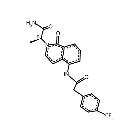 C[C@@H](C(N)=O)n1ccc2c(NC(=O)Cc3ccc(C(F)(F)F)cc3)cccc2c1=O